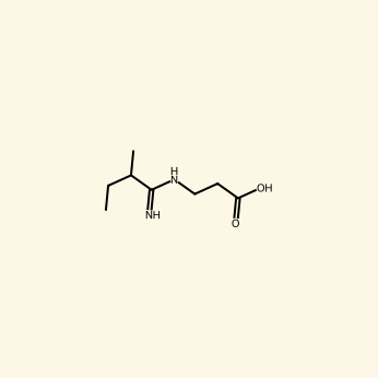 CCC(C)C(=N)NCCC(=O)O